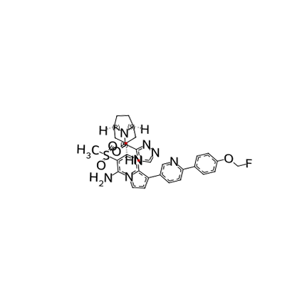 CS(=O)(=O)c1c([C@@H]2C[C@H]3CC[C@@H](C2)N3C(=O)c2nnc[nH]2)nc2c(-c3ccc(-c4ccc(OCF)cc4)nc3)ccn2c1N